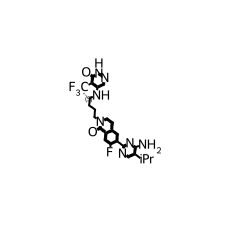 CC(C)c1cnc(-c2cc3ccn(CCC[C@H](C)Nc4cn[nH]c(=O)c4C(F)(F)F)c(=O)c3cc2F)nc1N